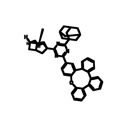 C[C@H]1C[C@H]2CC3CC(c4nc(-c5ccc6oc7ccccc7c7ccccc7c7ccccc7c6c5)nc(C56CC7CC(CC(C7)C5)C6)n4)(CC32)C1